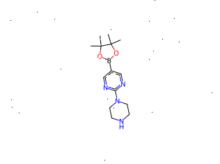 CC1(C)OB(c2cnc(N3CCNCC3)nc2)OC1(C)C